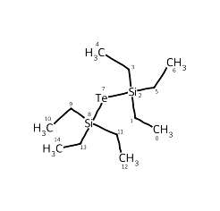 CC[Si](CC)(CC)[Te][Si](CC)(CC)CC